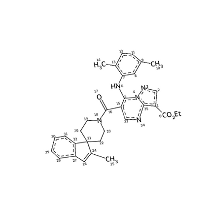 CCOC(=O)c1cnn2c(Nc3cc(C)ccc3C)c(C(=O)N3CCC4(CC3)C(C)=Cc3ccccc34)cnc12